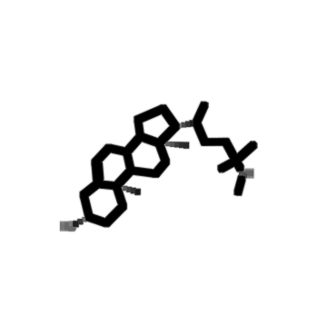 CNC(C)(C)CCC(C)[C@H]1CCC2C3CC=C4C[C@@H](O)CC[C@]4(C)C3CC[C@@]21C